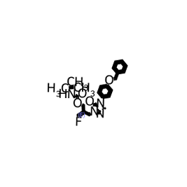 CC(C)(C)NC(=O)OC/C(=C/F)Cn1ncn(-c2ccc(OCc3ccccc3)cc2)c1=O